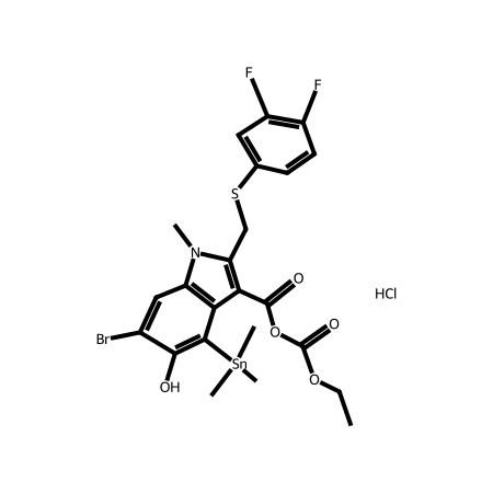 CCOC(=O)OC(=O)c1c(CSc2ccc(F)c(F)c2)n(C)c2cc(Br)c(O)[c]([Sn]([CH3])([CH3])[CH3])c12.Cl